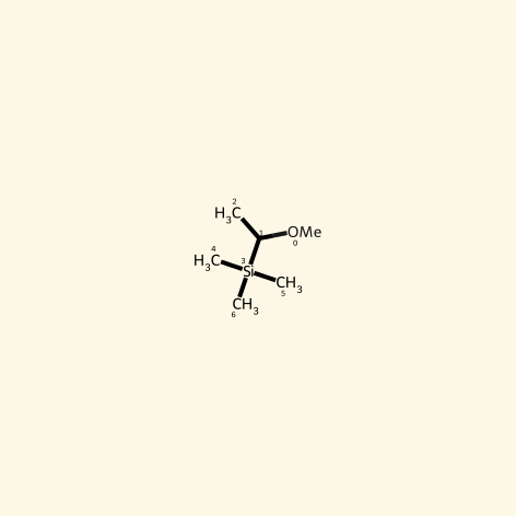 [C]OC(C)[Si](C)(C)C